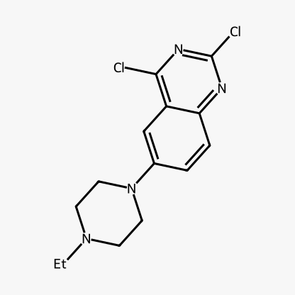 CCN1CCN(c2ccc3nc(Cl)nc(Cl)c3c2)CC1